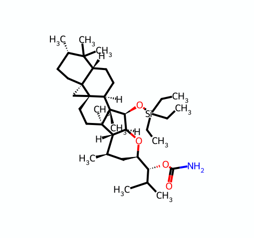 CC[Si](CC)(CC)O[C@H]1[C@H]2O[C@@H]([C@H](OC(N)=O)C(C)C)C[C@@H](C)[C@@H]2[C@@]2(C)CC[C@@]34C[C@@]35CC[C@H](C)C(C)(C)[C@@H]5CC[C@H]4[C@]12C